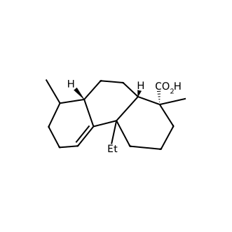 CCC12CCC[C@@](C)(C(=O)O)[C@H]1CC[C@@H]1C2=CCCC1C